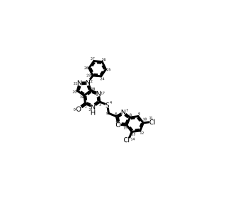 O=c1[nH]c(SCc2nc3cc(Cl)cc(Cl)c3o2)nc2c1cnn2-c1ccccc1